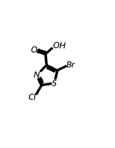 O=C(O)c1nc(Cl)sc1Br